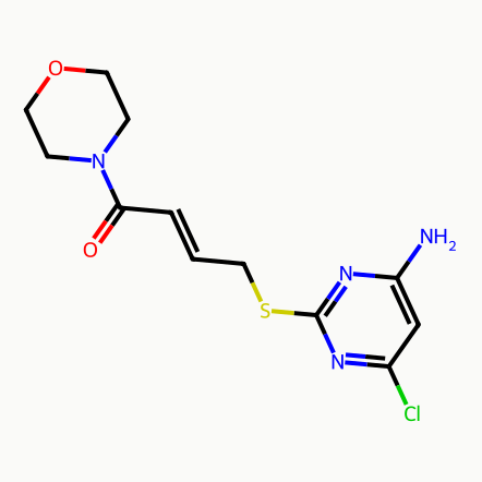 Nc1cc(Cl)nc(SCC=CC(=O)N2CCOCC2)n1